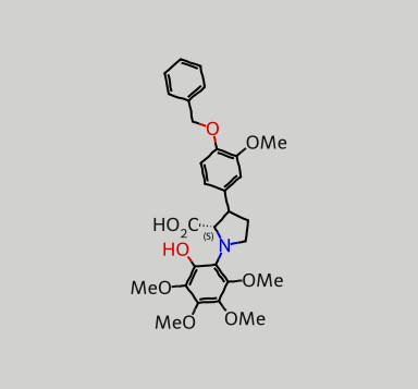 COc1cc(C2CCN(c3c(O)c(OC)c(OC)c(OC)c3OC)[C@@H]2C(=O)O)ccc1OCc1ccccc1